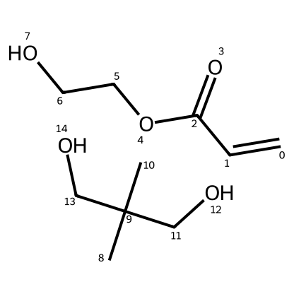 C=CC(=O)OCCO.CC(C)(CO)CO